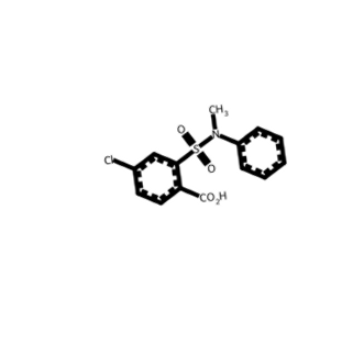 CN(c1ccccc1)S(=O)(=O)c1cc(Cl)ccc1C(=O)O